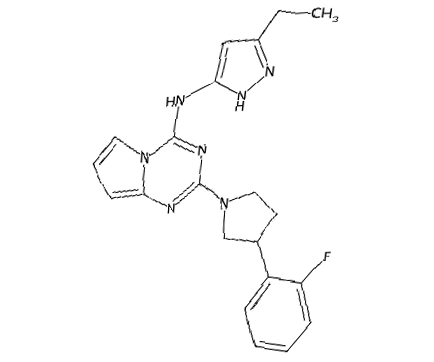 CCc1cc(Nc2nc(N3CCC(c4ccccc4F)C3)nc3cccn23)[nH]n1